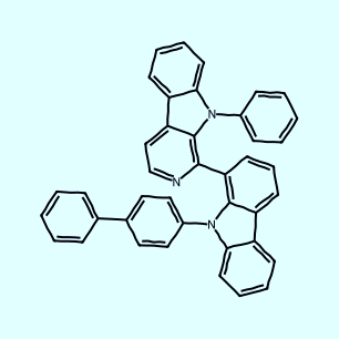 c1ccc(-c2ccc(-n3c4ccccc4c4cccc(-c5nccc6c7ccccc7n(-c7ccccc7)c56)c43)cc2)cc1